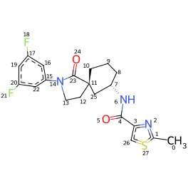 Cc1nc(C(=O)N[C@H]2CCC[C@]3(CCN(c4cc(F)cc(F)c4)C3=O)C2)cs1